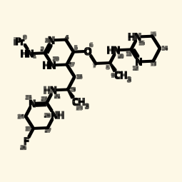 CC(C)NC1=NCC(OC[C@H](C)NC2=NCCCN2)C(C[C@@H](C)NC2=NCC(F)CN2)N1